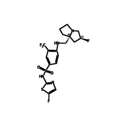 O=S(=O)(Nc1ncc(F)s1)c1ccc(NC[C@]23CCCN2C[C@@H](F)C3)c(C(F)(F)F)c1